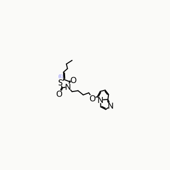 CCC/C=C1/SC(=O)N(CCCCOc2cccc3nccn23)C1=O